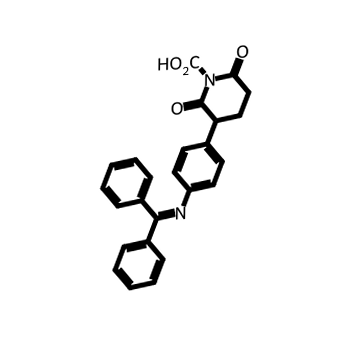 O=C(O)N1C(=O)CCC(c2ccc(N=C(c3ccccc3)c3ccccc3)cc2)C1=O